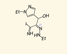 CCN/N=C(\C(=N)I)C(O)c1cnn(CC)c1